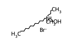 CCCCCCCCCCCC[N+](C)(CCO)CCCC.[Br-]